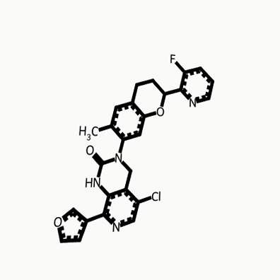 Cc1cc2c(cc1N1Cc3c(Cl)cnc(-c4ccoc4)c3NC1=O)OC(c1ncccc1F)CC2